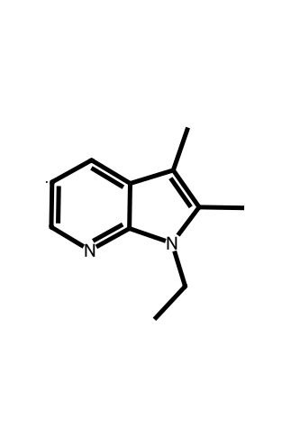 CCn1c(C)c(C)c2c[c]cnc21